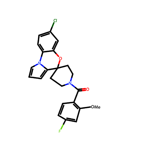 COc1cc(F)ccc1C(=O)N1CCC2(CC1)Oc1cc(Cl)ccc1-n1cccc12